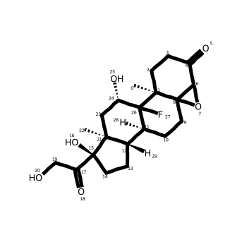 C[C@]12CCC(=O)C3OC31CC[C@H]1[C@@H]3CC[C@](O)(C(=O)CO)[C@@]3(C)C[C@H](O)C12F